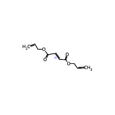 C=CCOC(=O)/C=C/C(=O)OCC=C